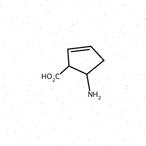 NC1CC=CC1C(=O)O